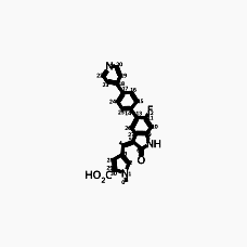 Cn1cc(C=C2C(=O)Nc3cc(F)c(-c4ccc(-c5ccncc5)cc4)cc32)cc1C(=O)O